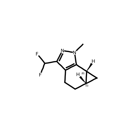 Cn1nc(C(F)F)c2c1[C@@H]1C[C@@H]1CC2